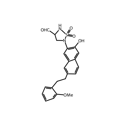 COc1ccccc1CCc1ccc2cc(O)c(N3CC(C=O)NS3(=O)=O)cc2c1